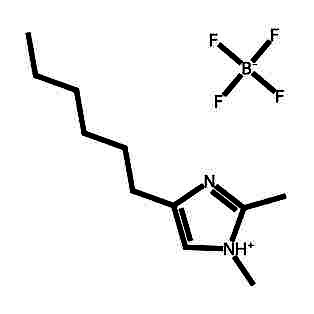 CCCCCCC1=C[NH+](C)C(C)=N1.F[B-](F)(F)F